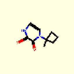 CC1(n2cc[nH]c(=O)c2=O)CCC1